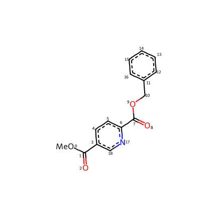 COC(=O)c1ccc(C(=O)OCc2ccccc2)nc1